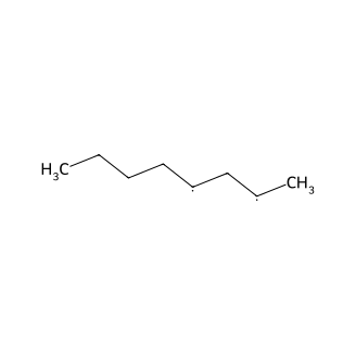 C[CH]C[CH]CCCC